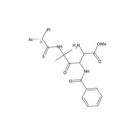 COC(=O)C(N)C(NC(=O)c1ccccc1)C(=O)C(C)(C)NC(=S)[C@H](C(C)=O)C(C)C